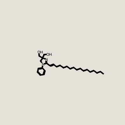 CCCCCCCCCCCCCCC/C=C/C1=NC(CO)(CO)CN1c1ccccc1